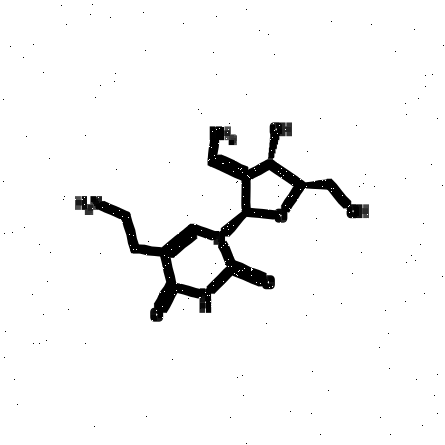 NC=C1[C@H](n2cc(CCN)c(=O)[nH]c2=O)O[C@H](CO)[C@H]1O